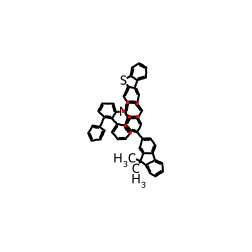 CC1(C)c2ccccc2-c2ccc(-c3ccc(N(c4ccc5c(c4)sc4ccccc45)c4cccc(-c5ccccc5)c4-c4ccccc4-c4ccccc4)cc3)cc21